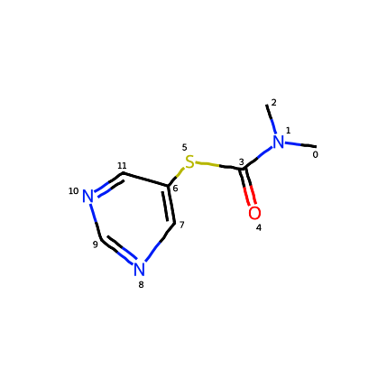 CN(C)C(=O)Sc1cncnc1